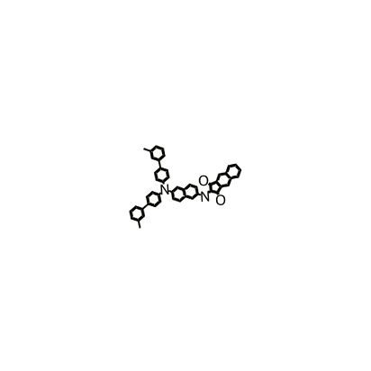 Cc1cccc(-c2ccc(N(c3ccc(-c4cccc(C)c4)cc3)c3ccc4cc(N=c5c(=O)c6cc7ccccc7cc6c5=O)ccc4c3)cc2)c1